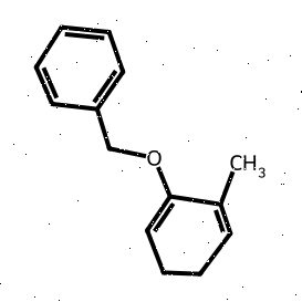 CC1=CCCC=C1OCc1ccccc1